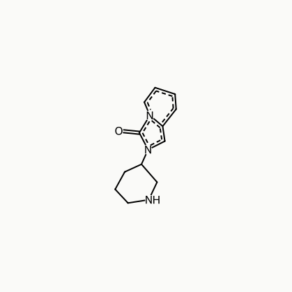 O=c1n(C2CCCNC2)cc2ccccn12